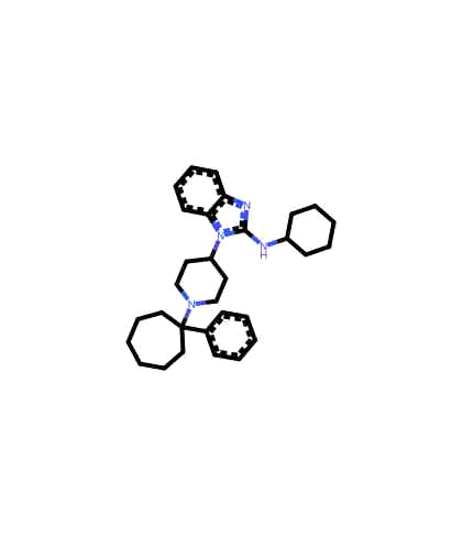 c1ccc(C2(N3CCC(n4c(NC5CCCCC5)nc5ccccc54)CC3)CCCCCC2)cc1